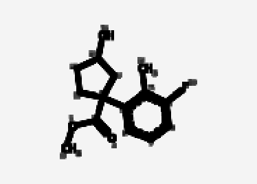 COC(=O)C1(c2cccc(F)c2C)CCC(O)C1